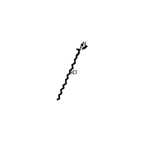 CCCCCCCCCCCCCCCCCCC=CC(C)n1ccnc1.Cl